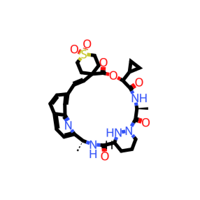 C[C@@H]1NC(=O)C(C2CC2)OC(=O)C2(/C=C/c3ccc4ccc(nc4c3)[C@@H](C)NC(=O)[C@@H]3CCCN(N3)C1=O)CCS(=O)(=O)CC2